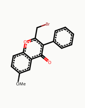 COc1ccc2oc(CBr)c(-c3ccccc3)c(=O)c2c1